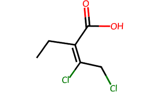 CCC(C(=O)O)=C(Cl)CCl